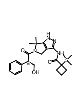 CC1(C)c2[nH]nc(NC(=O)C3(S(C)(C)C)CCC3)c2CN1C(=O)[C@@H](CO)c1ccccc1